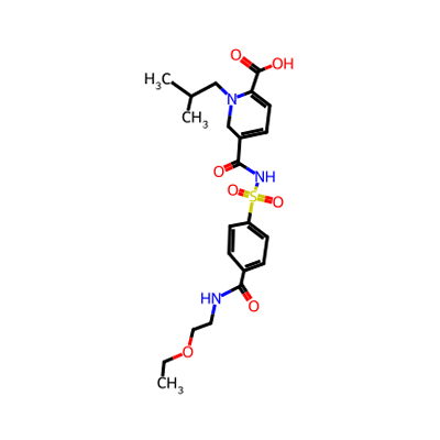 CCOCCNC(=O)c1ccc(S(=O)(=O)NC(=O)C2=CC=C(C(=O)O)N(CC(C)C)C2)cc1